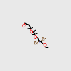 CCOC/C(Br)=C(\Br)COC(C)(C)C(C)OC(C)(C)CC1CO1